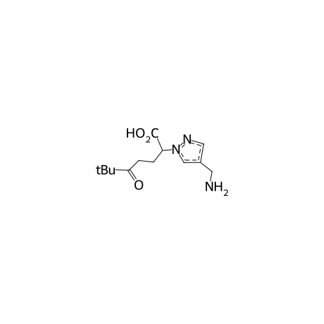 CC(C)(C)C(=O)CCC(C(=O)O)n1cc(CN)cn1